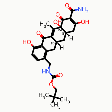 CC1=C2C(=O)c3c(O)ccc(CNC(=O)OCC(C)(C)C)c3C[C@H]2C[C@H]2CC(O)=C(C(N)=O)C(=O)[C@@]12O